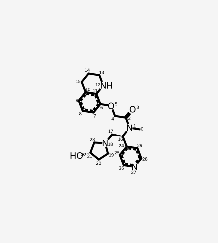 CN(C(=O)COc1cccc2c1NCCC2)[C@H](CN1CC[C@H](O)C1)c1ccncc1